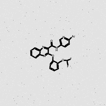 CC(=O)c1ccc(NC(=O)c2nc3ccccc3nc2Oc2ccccc2OC(F)F)cn1